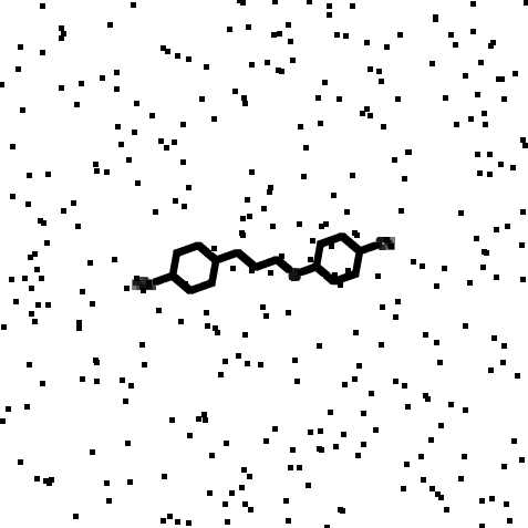 CCCCC1CCC(CCCOC2CCC(C#N)CC2)CC1